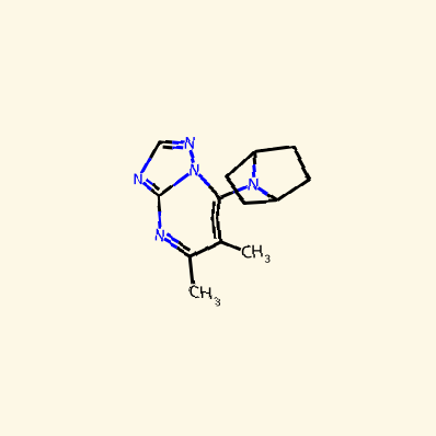 Cc1nc2ncnn2c(N2C3CCC2CC3)c1C